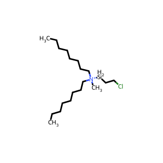 CCCCCCCC[N+](C)(CCCCCCCC)[SiH2]CCCl